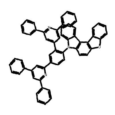 c1ccc(-c2cc(-c3ccccc3)nc(-c3ccc(-n4c5ccccc5c5c6c(ccc54)oc4ccccc46)c(-c4cc(-c5ccccc5)nc(-c5ccccc5)c4)c3)c2)cc1